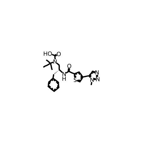 Cn1nncc1-c1csc(C(=O)N[C@H](Cc2ccccc2)CN(C(=O)O)C(C)(C)C)c1